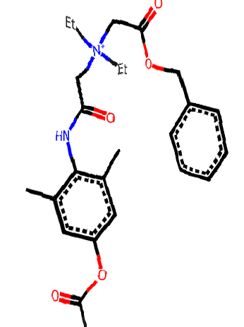 CCCC(=O)Oc1cc(C)c(NC(=O)C[N+](CC)(CC)CC(=O)OCc2ccccc2)c(C)c1